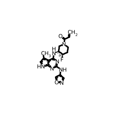 C=CC(=O)N1CC[C@@H](F)[C@@H](Nc2nc(Nc3cnoc3)nc3[nH]cc(C)c23)C1